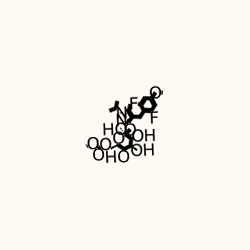 COC(=O)OC[C@H]1O[C@@](O)(Oc2nn(C(C)C)c(C)c2Cc2c(F)cc(OC)cc2F)[C@H](O)[C@@H](O)[C@@H]1O